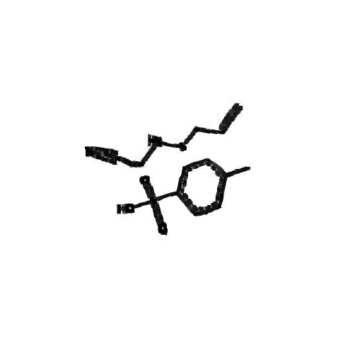 C=CCSNCC#N.Cc1ccc(S(=O)(=O)O)cc1